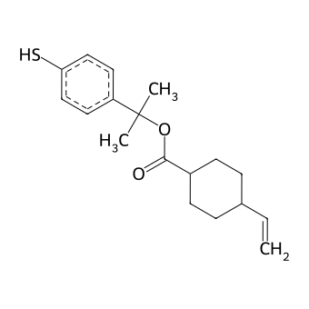 C=CC1CCC(C(=O)OC(C)(C)c2ccc(S)cc2)CC1